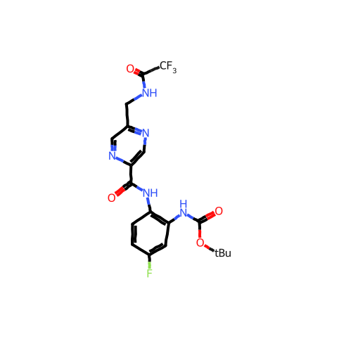 CC(C)(C)OC(=O)Nc1cc(F)ccc1NC(=O)c1cnc(CNC(=O)C(F)(F)F)cn1